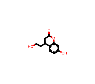 O=C1CC(CCO)c2ccc(O)cc2O1